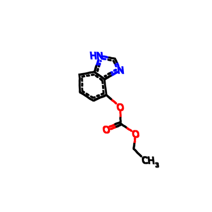 CCOC(=O)Oc1cccc2[nH]cnc12